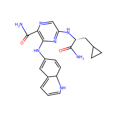 NC(=O)c1ncc(N[C@H](CC2CC2)C(N)=O)nc1NC1=CC2=CC=CNC2C=C1